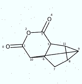 O=C1OC(=O)C2C3CC4C(C13)C42